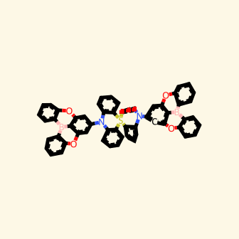 c1ccc2c(c1)Oc1cc(N3c4ccccc4S4(c5ccccc53)c3ccccc3N(c3cc5c6c(c3)Oc3ccccc3B6c3ccccc3O5)c3ccccc34)cc3c1B2c1ccccc1O3